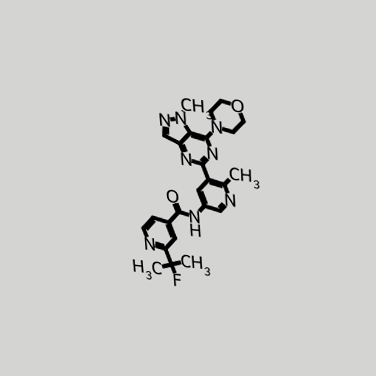 Cc1ncc(NC(=O)c2ccnc(C(C)(C)F)c2)cc1-c1nc(N2CCOCC2)c2c(cnn2C)n1